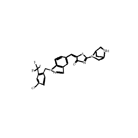 O=C1N=C(N2CC3CC2CN3)SC1=Cc1ccc2c(cnn2Cc2ccc(Cl)cc2C(F)(F)F)c1